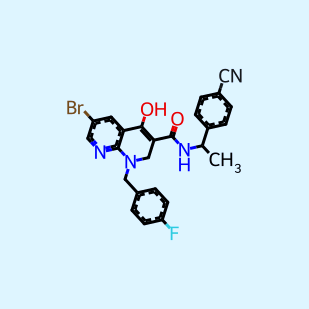 CC(NC(=O)C1=C(O)c2cc(Br)cnc2N(Cc2ccc(F)cc2)C1)c1ccc(C#N)cc1